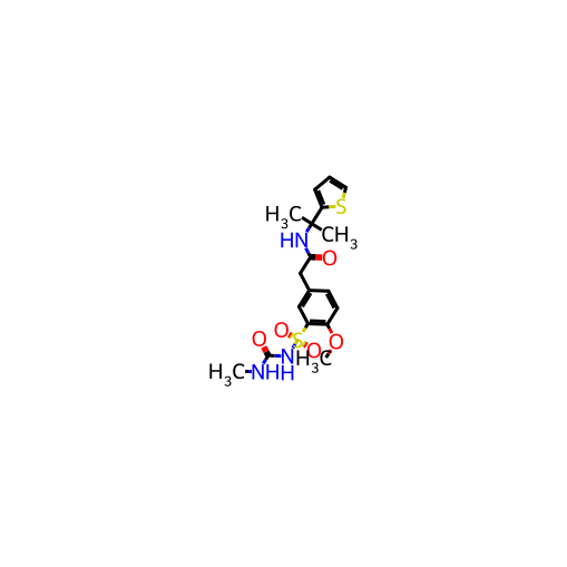 CNC(=O)NS(=O)(=O)c1cc(CC(=O)NC(C)(C)c2cccs2)ccc1OC